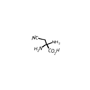 N#CCC(N)(N)C(=O)O